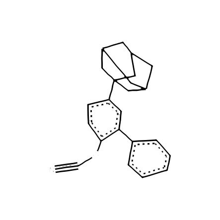 N#COc1ccc(C23CC4CC(CC(C4)C2)C3)cc1-c1ccccc1